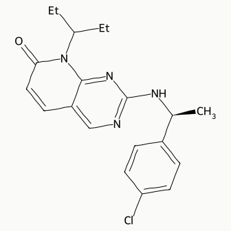 CCC(CC)n1c(=O)ccc2cnc(N[C@@H](C)c3ccc(Cl)cc3)nc21